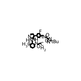 C=CC(=O)Nc1cccc(C)c1-c1nc2c(-c3ccc(CNC(=O)c4nc(C(C)(C)C)no4)c(F)c3)ccnc2[nH]1